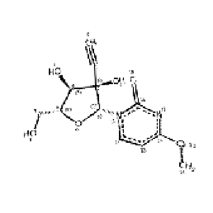 C#C[C@@]1(O)[C@H](O)[C@@H](CO)O[C@H]1n1ccc(OC)nc1=O